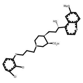 COc1ccc2nccc([C@@H](O)CC[C@@H]3CCN(CCCSc4cccc(Cl)c4Cl)C[C@@H]3C(=O)O)c2c1